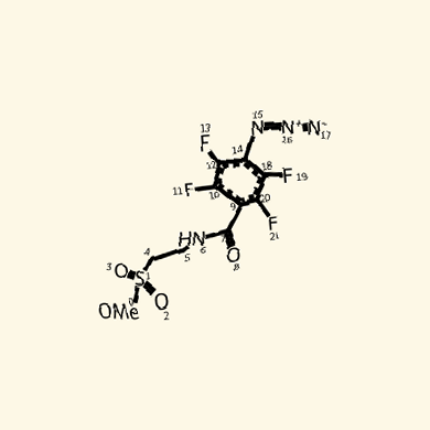 COS(=O)(=O)CCNC(=O)c1c(F)c(F)c(N=[N+]=[N-])c(F)c1F